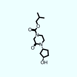 CC(C)COC(=O)N1CCN([C@@H]2CC[C@@H](O)C2)C(=O)C1